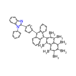 Bc1c(B)c(B)c2c(B)c(-c3c4ccccc4c(-c4ccc(-c5nc6ccccc6n5-c5ccccc5)cc4)c4ccccc34)c(B)c(B)c2c1B